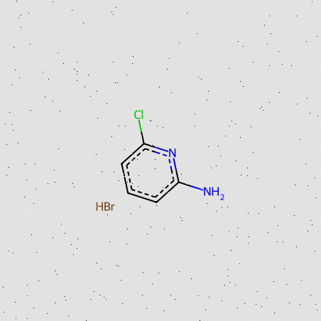 Br.Nc1cccc(Cl)n1